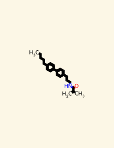 C=C(C)C(=O)NCCCc1ccc(-c2ccc(CCCCC)cc2)cc1